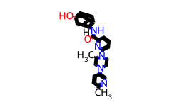 Cc1ccc(N2CCN(c3cccc(C(=O)N[C@H]4C5CC6CC4C[C@](O)(C6)C5)n3)[C@H](C)C2)cn1